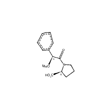 CO[C@H](C(=O)N1CCC[C@H]1C(=O)O)c1ccccc1